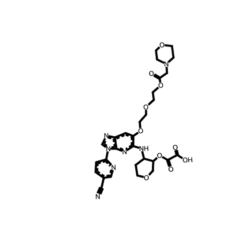 N#Cc1ccc(-n2cnc3cc(OCCOCCOC(=O)CN4CCOCC4)c(NC4CCOCC4OC(=O)C(=O)O)nc32)nc1